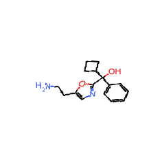 NCCc1cnc(C(O)(c2ccccc2)C2CCC2)o1